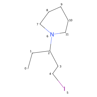 CCC(CCI)N1CCCCC1